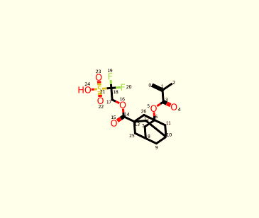 C=C(C)C(=O)OC12CC3CC(C1)CC(C(=O)OCC(F)(F)S(=O)(=O)O)(C3)C2